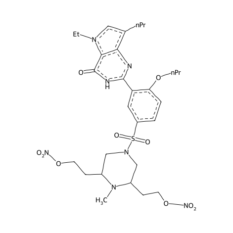 CCCOc1ccc(S(=O)(=O)N2CC(CCO[N+](=O)[O-])N(C)C(CCO[N+](=O)[O-])C2)cc1-c1nc2c(CCC)cn(CC)c2c(=O)[nH]1